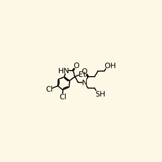 CCC1(CN(CCS)C(=O)CCCO)C(=O)Nc2cc(Cl)c(Cl)cc21